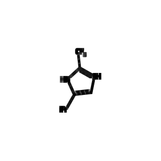 CC(C)C1=C[SH]=C(C(F)(F)F)N1